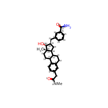 CNC(=O)Cc1ccc2c(c1)CCC1C2CC[C@@]2(C)C1C[C@H](Cc1cccc(C(N)=O)c1)[C@@H]2O